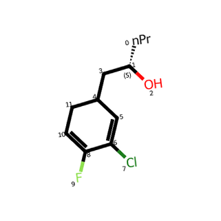 CCC[C@H](O)CC1C=C(Cl)C(F)=CC1